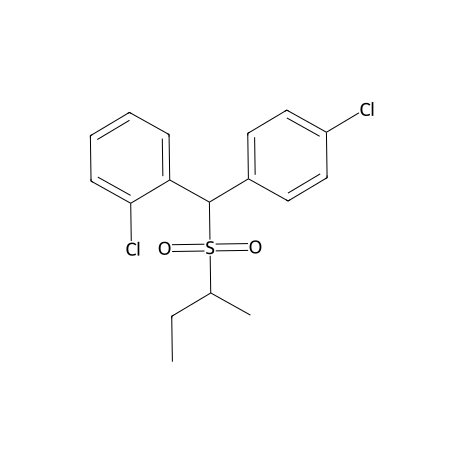 CCC(C)S(=O)(=O)C(c1ccc(Cl)cc1)c1ccccc1Cl